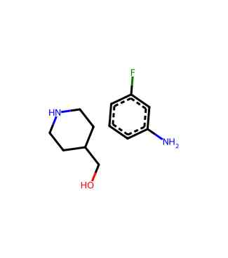 Nc1cccc(F)c1.OCC1CCNCC1